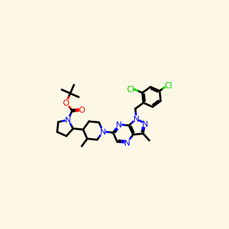 Cc1nn(Cc2ccc(Cl)cc2Cl)c2nc(N3CCC(C4CCCN4C(=O)OC(C)(C)C)C(C)C3)cnc12